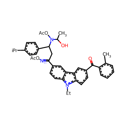 CCn1c2ccc(C(=O)c3ccccc3C)cc2c2cc(/C(CC(c3ccc(C(C)C)cc3)N(OC(C)=O)C(C)O)=N/OC(C)=O)ccc21